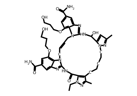 CCn1nc(C)c2c1C(=O)Nc1nc3cc(C(N)=O)cc(OCCCO)c3n1C/C=C/Cn1c(nc3cc(C(N)=O)cc(OCCCO)c31)NC(O)c1cc(C)nn1CCCCC2